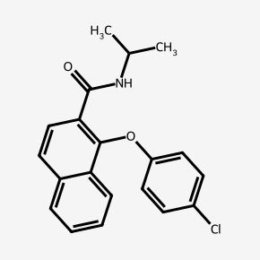 CC(C)NC(=O)c1ccc2ccccc2c1Oc1ccc(Cl)cc1